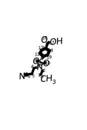 CCCN(CCC#N)S(=O)(=O)c1ccc(C(=O)O)cc1